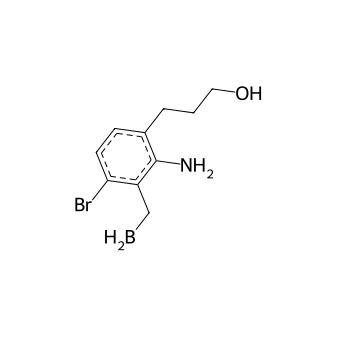 BCc1c(Br)ccc(CCCO)c1N